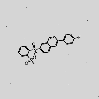 CS(=O)(=O)c1ccccc1S(=O)(=O)c1ccc2cc(-c3ccc(F)cc3)ccc2c1